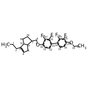 CCCC1=CCC2C(COc3ccc(-c4ccc(OCC)c(F)c4F)c(F)c3F)CCC12